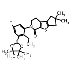 CCc1c(B2OC(C)(C)C(C)(C)O2)cc(F)cc1N1CCc2c(sc3c2CC(C)(C)C3)C1=O